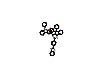 c1ccc(-n2c3ccccc3c3cc(-c4nc(-c5ccc(-c6nc7ccccc7s6)cc5)nc5c4C(c4ccccc4)(c4ccccc4)c4ccccc4-5)ccc32)cc1